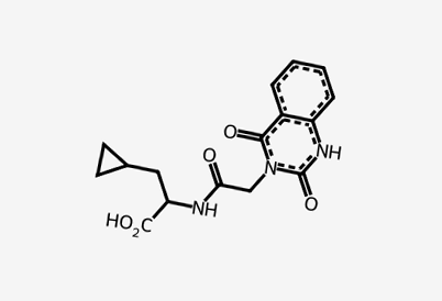 O=C(Cn1c(=O)[nH]c2ccccc2c1=O)NC(CC1CC1)C(=O)O